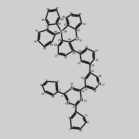 c1ccc(-c2nc(-c3ccccc3)nc(-c3cncc(-c4cccc(-c5cccc6c5Oc5ccccc5S6(c5ccccc5)c5ccccc5)c4)c3)n2)cc1